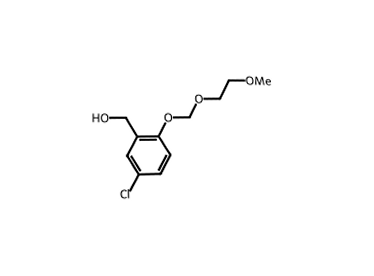 COCCOCOc1ccc(Cl)cc1CO